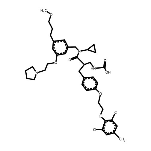 COCCCc1cc(CN(C(=O)C(CNC(=O)O)Cc2ccc(OCCOc3c(Cl)cc(C)cc3Cl)cc2)C2CC2)cc(OCCN2CCCC2)c1